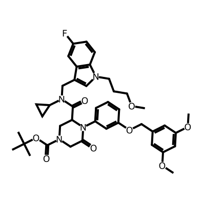 COCCCn1cc(CN(C(=O)C2CN(C(=O)OC(C)(C)C)CC(=O)N2c2cccc(OCc3cc(OC)cc(OC)c3)c2)C2CC2)c2cc(F)ccc21